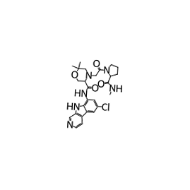 CNC(=O)C1CCCN1C(=O)CN1CC(C)(C)OCC1C(=O)Nc1cc(Cl)cc2c1[nH]c1cnccc12